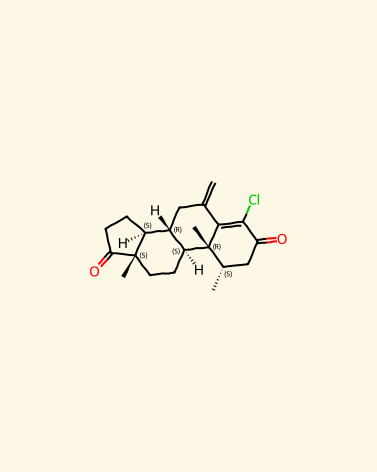 C=C1C[C@@H]2[C@H](CC[C@]3(C)C(=O)CC[C@@H]23)[C@]2(C)C1=C(Cl)C(=O)C[C@@H]2C